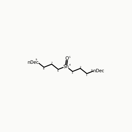 CCCCCCCCCCCC[CH2][Sn](=[O])[CH2]CCCCCCCCCCCC